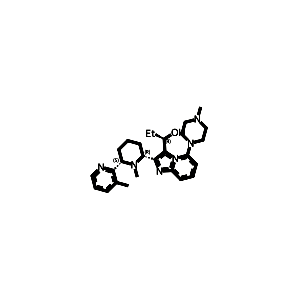 CC[C@@H](O)c1c([C@H]2CCC[C@@H](c3ncccc3C)N2C)nc2cccc(N3CCN(C)CC3)n12